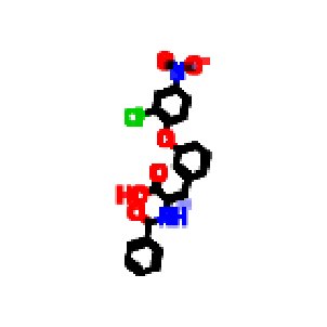 O=C(O)/C(=C\c1cccc(Oc2ccc([N+](=O)[O-])cc2Cl)c1)NC(=O)c1ccccc1